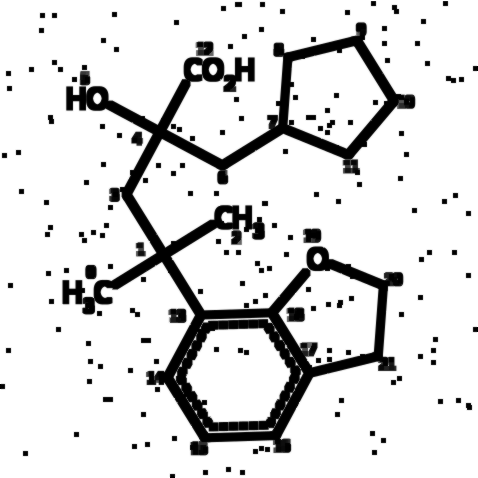 CC(C)(CC(O)(CC1CCCC1)C(=O)O)c1cccc2c1OCC2